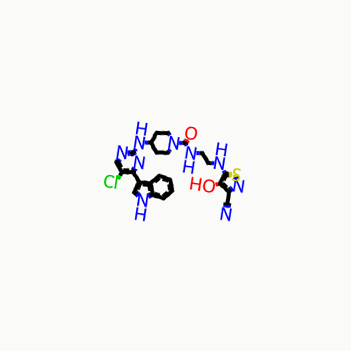 N#Cc1nsc(NCCNC(=O)N2CCC(Nc3ncc(Cl)c(-c4c[nH]c5ccccc45)n3)CC2)c1O